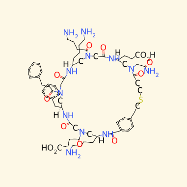 NCCCC[C@H]1CN(C(=O)CCCN)CC(=O)N[C@@H](CCC(=O)O)CN(CC(N)=O)C(=O)CCSCc2ccc(cc2)C(=O)N[C@@H](CCCCN)CN(C(=O)CCC(=O)O)CC(=O)N[C@@H](Cc2ccccc2)CN(C(=O)CCc2ccccc2)CC(=O)N1